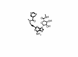 CNC(=O)[C@H]1O[C@@H](n2cnc3c(N)nc(C#CCN(C)C(=O)c4cncnc4)nc32)C(O)[C@@H]1O